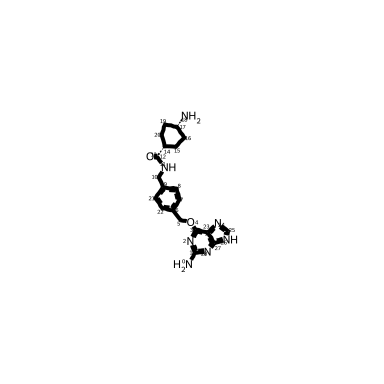 Nc1nc(OCc2ccc(CNC(=O)[C@H]3CC[C@@H](N)CC3)cc2)c2nc[nH]c2n1